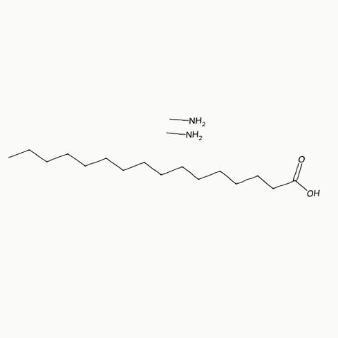 CCCCCCCCCCCCCCCC(=O)O.CN.CN